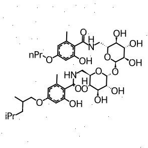 CCCOc1cc(C)c(C(=O)NC[C@H]2O[C@H](O[C@H]3O[C@H](CNC(=O)c4c(C)cc(OCC(C)CC(C)C)cc4O)[C@@H](O)[C@H](O)[C@H]3O)[C@H](O)[C@@H](O)[C@@H]2O)c(O)c1